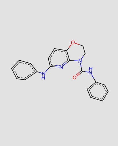 O=C(Nc1ccccc1)N1CCOc2ccc(Nc3ccccc3)nc21